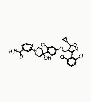 NC(=O)c1ccnc(N2CCC(O)(c3ccc(OCC4C(c5c(Cl)cccc5Cl)=NOC4C4CC4)cc3Cl)CC2)c1